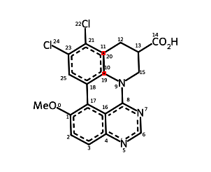 COc1ccc2ncnc(N3CCCC(C(=O)O)C3)c2c1-c1ccc(Cl)c(Cl)c1